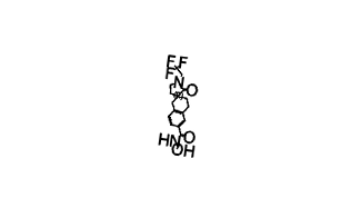 O=C(NO)c1ccc2c(c1)CC[C@]1(CCN(CC(F)(F)F)C1=O)C2